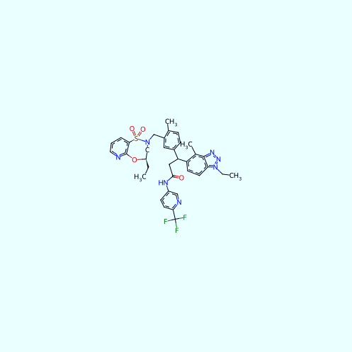 CC[C@@H]1CN(Cc2cc(C(CC(=O)Nc3ccc(C(F)(F)F)nc3)c3ccc4c(nnn4CC)c3C)ccc2C)S(=O)(=O)c2cccnc2O1